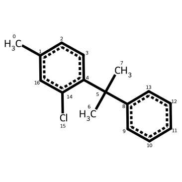 Cc1ccc(C(C)(C)c2ccccc2)c(Cl)c1